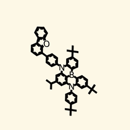 CC(C)c1cc2c3c(c1)N(c1ccc(C(C)(C)C)cc1)c1cc(C(C)(C)C)ccc1B3c1ccc(C(C)(C)C)cc1N2c1ccc(-c2cccc3c2oc2ccccc23)cc1